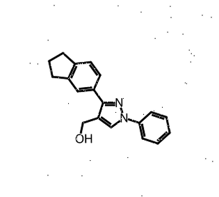 OCc1cn(-c2ccccc2)nc1-c1ccc2c(c1)CCC2